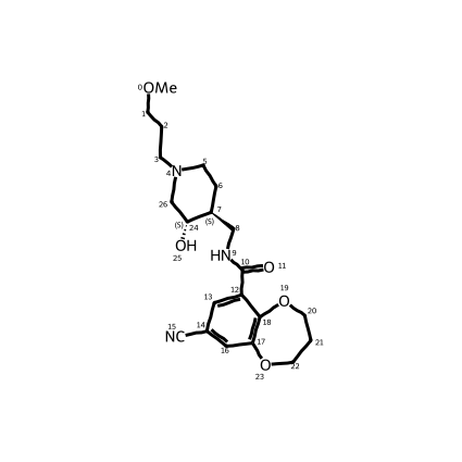 COCCCN1CC[C@@H](CNC(=O)c2cc(C#N)cc3c2OCCCO3)[C@H](O)C1